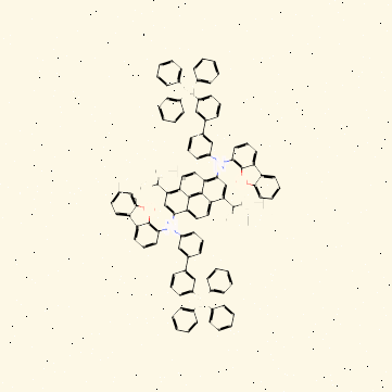 CC(C)c1cc(N(c2cccc(-c3cccc([Si](c4ccccc4)(c4ccccc4)c4ccccc4)c3)c2)c2cccc3c2oc2ccccc23)c2ccc3c(C(C)C)cc(N(c4cccc(-c5cccc([Si](c6ccccc6)(c6ccccc6)c6ccccc6)c5)c4)c4cccc5c4oc4ccccc45)c4ccc1c2c34